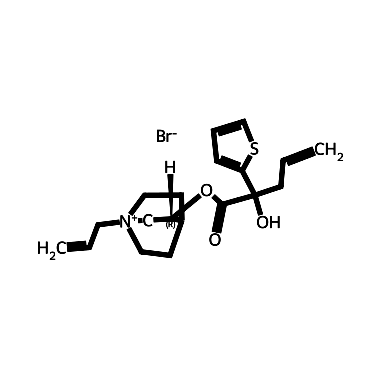 C=CCC(O)(C(=O)O[C@H]1C[N+]2(CC=C)CCC1CC2)c1cccs1.[Br-]